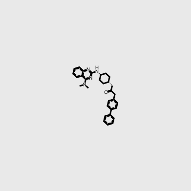 CN(C)c1nc(N[C@H]2CC[C@@H](CC(=O)Cc3ccc(-c4ccccc4)cc3)CC2)nc2ccccc12